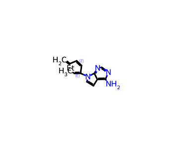 C=C(/C=C\C(=C/C)n1ccc2c(N)ncnc21)CC